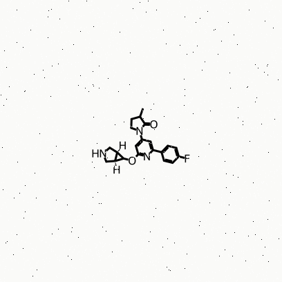 CC1CCN(c2cc(OC3[C@H]4CNC[C@@H]34)nc(-c3ccc(F)cc3)c2)C1=O